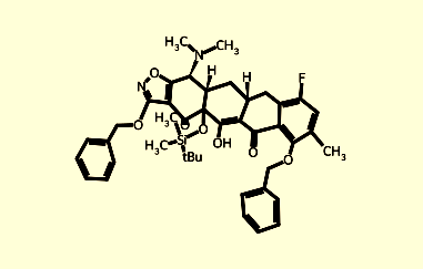 Cc1cc(F)c2c(c1OCc1ccccc1)C(=O)C1=C(O)C3(O[Si](C)(C)C(C)(C)C)C(=O)c4c(OCc5ccccc5)noc4[C@@H](N(C)C)[C@@H]3C[C@@H]1C2